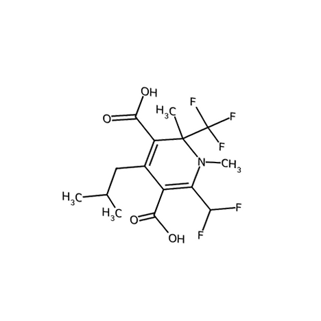 CC(C)CC1=C(C(=O)O)C(C)(C(F)(F)F)N(C)C(C(F)F)=C1C(=O)O